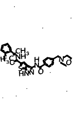 CC(C)(NC(=O)c1cc2c(NC(=O)c3ccc(CN4CCOCC4)cc3)n[nH]c2s1)c1ccccc1F